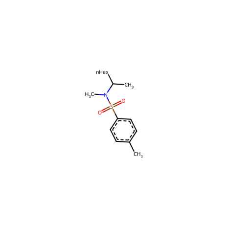 CCCCCCC(C)N(C)S(=O)(=O)c1ccc(C)cc1